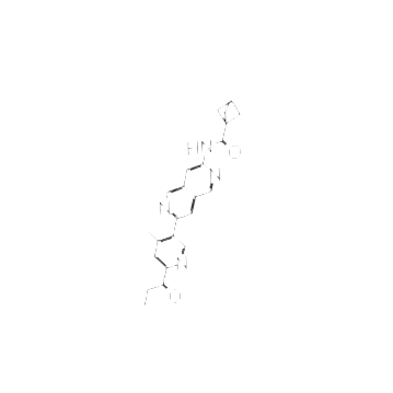 CCC(=O)c1cc(C)c(-c2cc3cnc(NC(=O)C45CC(C4)C5)cc3cn2)cn1